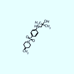 C=C1CCN(S(=O)(=O)c2ccc(NCC(C)(C)O)cc2)CC1